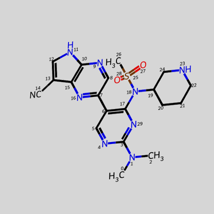 CN(C)c1ncc(-c2cnc3[nH]cc(C#N)c3n2)c(N(C2CCCNC2)S(C)(=O)=O)n1